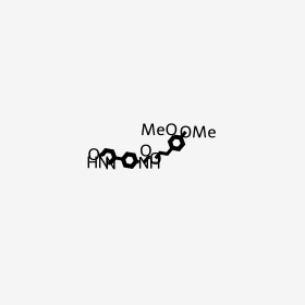 COc1ccc(CCOC(=O)Nc2ccc(-c3ccc(=O)[nH]n3)cc2)cc1OC